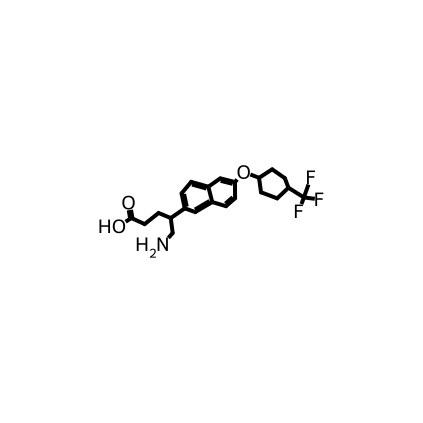 NCC(CCC(=O)O)c1ccc2cc(OC3CCC(C(F)(F)F)CC3)ccc2c1